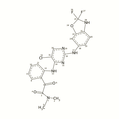 CN(C)C(=O)C(=O)c1ccccc1Nc1nc(Nc2ccc3c(c2)OC(F)(F)N3)ncc1Cl